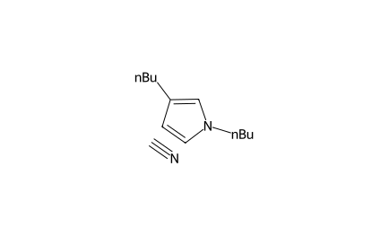 C#N.CCCCc1ccn(CCCC)c1